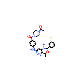 CC(=O)c1nnc(Nc2ccc(C(=O)N3CCN(C(C)=O)CC3)cc2)cc1NCc1cccc(F)c1